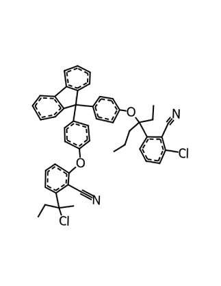 CCCC(CC)(Oc1ccc(C2(c3ccc(Oc4cccc(C(C)(Cl)CC)c4C#N)cc3)c3ccccc3-c3ccccc32)cc1)c1cccc(Cl)c1C#N